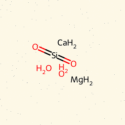 O.O.O=[Si]=O.[CaH2].[MgH2]